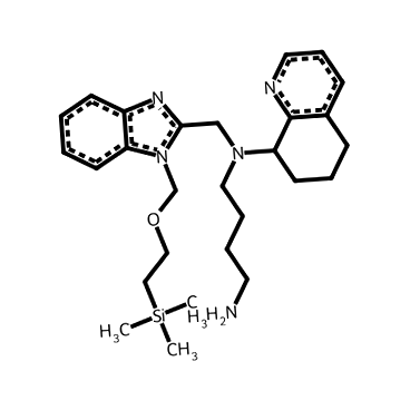 C[Si](C)(C)CCOCn1c(CN(CCCCN)C2CCCc3cccnc32)nc2ccccc21